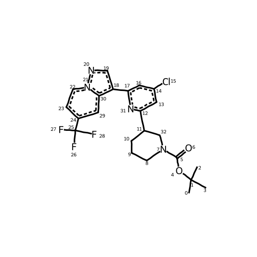 CC(C)(C)OC(=O)N1CCCC(c2cc(Cl)cc(-c3cnn4ccc(C(F)(F)F)cc34)n2)C1